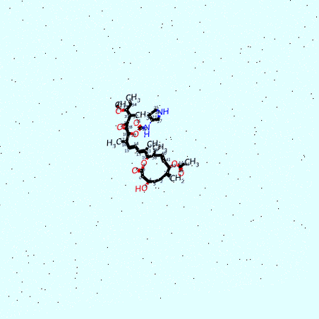 C=C1CCC(O)CC(=O)OC(/C(C)=C/C=C/C(C)C(OC(=O)N[C@@H]2CCNC2)C2OC2C(C)C(CC)OC)C(C)/C=C/C1OC(C)=O